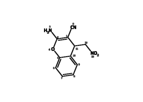 N#CC1=C(N)Oc2ccccc2C1C[N+](=O)[O-]